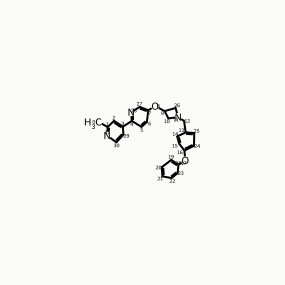 Cc1cc(-c2ccc(OC3CN(Cc4ccc(Oc5ccccc5)cc4)C3)cn2)ccn1